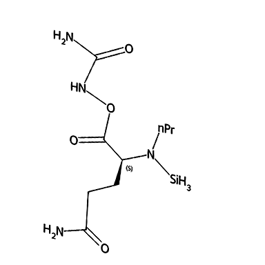 CCCN([SiH3])[C@@H](CCC(N)=O)C(=O)ONC(N)=O